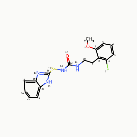 COc1cccc(F)c1CCNC(=O)NSc1nc2ccccc2[nH]1